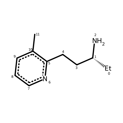 CC[C@@H](N)CCc1ncccc1C